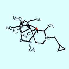 CCc1ccc(O)c2c1C1(CCN(CC3CC3)C(C)C13CCC3(C)C(C)OC)[C@H](C)O2